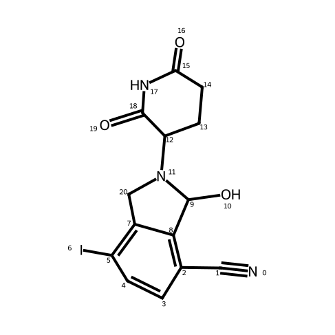 N#Cc1ccc(I)c2c1C(O)N(C1CCC(=O)NC1=O)C2